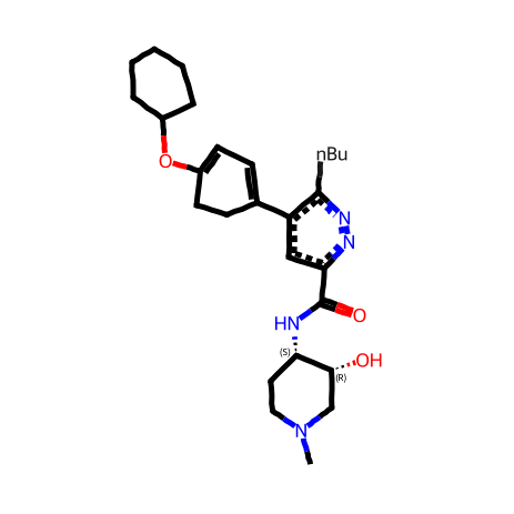 CCCCc1nnc(C(=O)N[C@H]2CCN(C)C[C@H]2O)cc1C1=CC=C(OC2CCCCC2)CC1